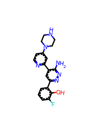 Nc1nnc(-c2cccc(F)c2O)cc1-c1cc(N2CCNCC2)ccn1